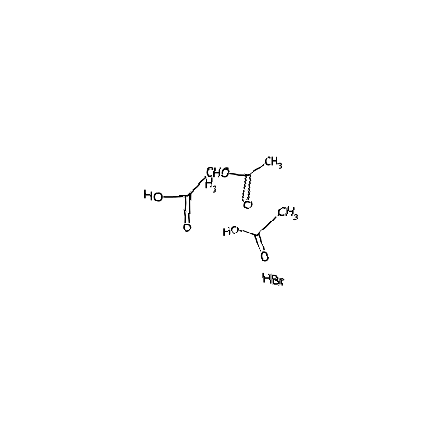 Br.CC(=O)O.CC(=O)O.CC(=O)O